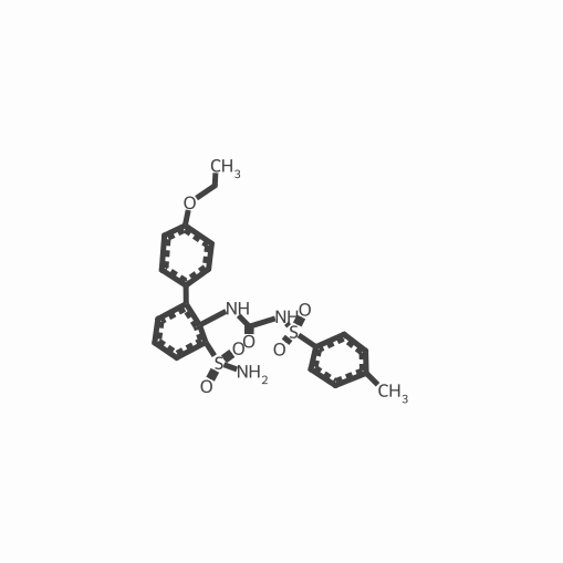 CCOc1ccc(-c2cccc(S(N)(=O)=O)c2NC(=O)NS(=O)(=O)c2ccc(C)cc2)cc1